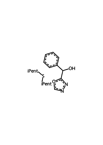 CCCC(C)SC(C)CCC.OC(c1ccccc1)c1nnco1